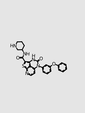 O=C(NC1CCCNC1)c1sc2nccc3c2c1NC(=O)N3c1cccc(Oc2ccccc2)c1